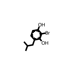 CC(C)Cc1ccc(O)c(Br)c1O